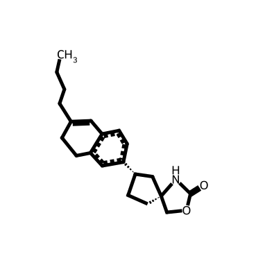 CCCCC1=Cc2ccc([C@H]3CC[C@]4(COC(=O)N4)C3)cc2CC1